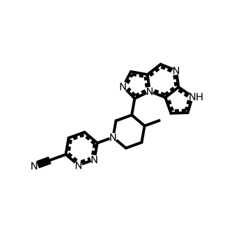 CC1CCN(c2ccc(C#N)nn2)CC1c1ncc2cnc3[nH]ccc3n12